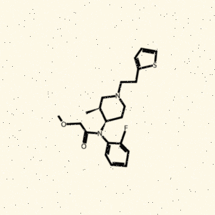 COCC(=O)N(c1ccccc1F)[C@@H]1CCN(CCc2cccs2)C[C@@H]1C